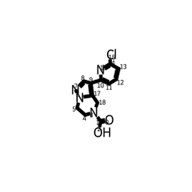 O=C(O)N1CCn2ncc(-c3cccc(Cl)n3)c2C1